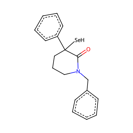 O=C1N(Cc2ccccc2)CCCC1([SeH])c1ccccc1